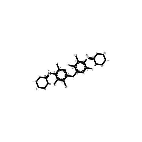 Cc1cc(Cc2cc(C)c(N=C3CCCCC3)c(C)c2C)c(C)c(C)c1N=C1CCCCC1